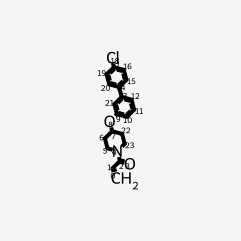 C=CC(=O)N1CCC(Oc2cccc(-c3ccc(Cl)cc3)c2)CC1